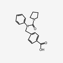 O=C(O)c1ccc(CN(C(=O)N2CCCC2)c2ccccc2)cc1